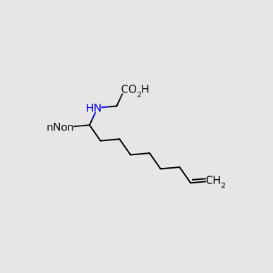 C=CCCCCCCC(CCCCCCCCC)NCC(=O)O